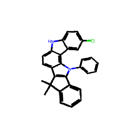 CC1(C)c2ccccc2-c2c1c1ccc3[nH]c4ccc(Cl)cc4c3c1n2-c1ccccc1